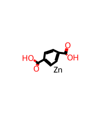 O=C(O)c1ccc(C(=O)O)cc1.[Zn]